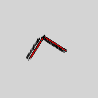 CCOC(C)=O.O.O.O.O.O.O.O.O.O.O.O.O.O.O.O.O.O.O.O.O.O.O.O.O.O.O.O.O.O.O.O.O.O.O.O.O.O.O.O.O.O.O.O.O.O.O.O.O.O.O.O.O.O.O.O.O.O.O.O.O.O.O.O.O.O.O.O.O.O.O